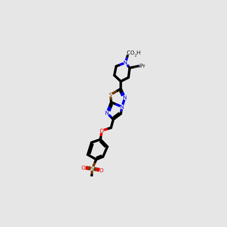 CC(C)C1CC(c2nn3cc(COc4ccc(S(C)(=O)=O)cc4)nc3s2)CCN1C(=O)O